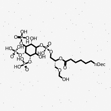 CCCCCCCCCCCCCCCC(=O)O[C@H](COCO)COP(=O)(O)OC1C(O)[C@H](OP(=O)(O)O)[C@H](OP(=O)(O)O)C(OP(=O)(O)O)[C@@H]1O